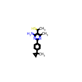 Cc1nc(-c2ccc(C3(C)CC3)cc2)nc(N)c1C(C)S